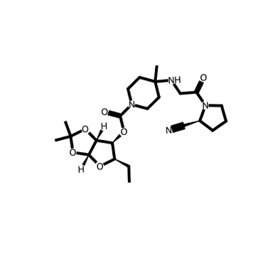 CC[C@H]1O[C@@H]2OC(C)(C)O[C@@H]2[C@H]1OC(=O)N1CCC(C)(NCC(=O)N2CCC[C@H]2C#N)CC1